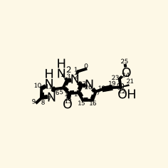 CCn1c(N)c(-c2nc(C)c[nH]2)c(=O)c2ccc(C#C[C@@](C)(O)COC)nc21